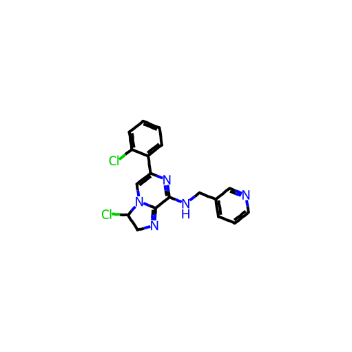 Clc1ccccc1C1=CN2C(=NCC2Cl)C(NCc2cccnc2)=N1